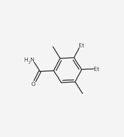 CCc1c(C)cc(C(N)=O)c(C)c1CC